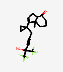 CC12CCCC(=O)C1CC=C2C1(CC#CC(O)(C(F)(F)F)C(F)(F)F)CC1